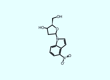 O=[N+]([O-])c1cccc2c1ccn2C1CC(O)[C@@H](CO)O1